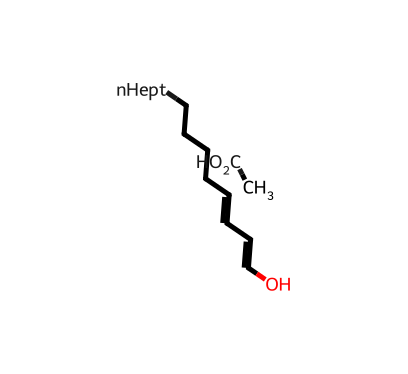 CC(=O)O.CCCCCCCCCCCC=CC=CO